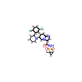 CC1(S(=O)(=O)NC(=O)c2cnc3ccc(N4CCCCC4c4cc(F)ccc4F)cn23)CC1